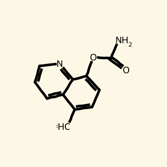 [CH]c1ccc(OC(N)=O)c2ncccc12